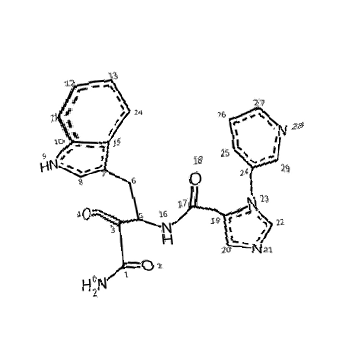 NC(=O)C(=O)C(Cc1c[nH]c2ccccc12)NC(=O)c1cncn1-c1cccnc1